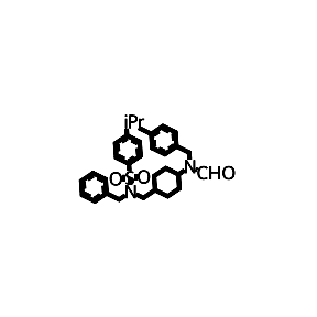 Cc1ccc(CN(C=O)C2CCC(CN(Cc3ccccc3)S(=O)(=O)c3ccc(C(C)C)cc3)CC2)cc1